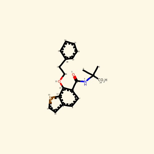 CC(C)(NC(=O)c1ccc2ccsc2c1OCCc1ccccc1)C(=O)O